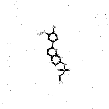 C=CCS(=O)(=O)Nc1cnc2ccc(-c3ccc(O)c(OC)c3)nc2n1